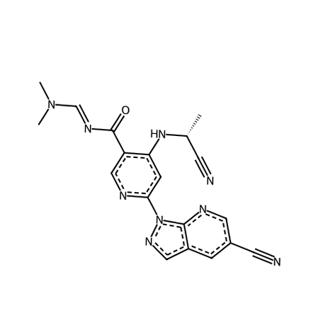 C[C@H](C#N)Nc1cc(-n2ncc3cc(C#N)cnc32)ncc1C(=O)/N=C/N(C)C